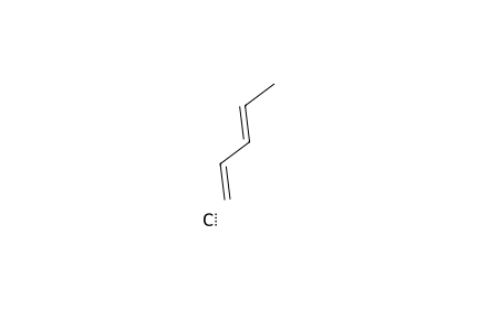 C=CC=CC.[C]